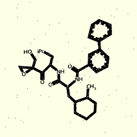 CC(C)CC(NC(=O)C(CC1CCCCC1C)NC(=O)c1cccc(-c2ccccc2)c1)C(=O)C1(CO)CO1